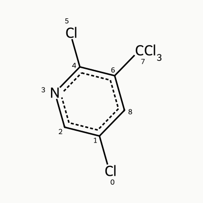 Clc1cnc(Cl)c(C(Cl)(Cl)Cl)c1